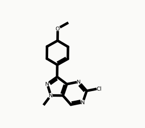 COC1CC=C(c2nn(C)c3cnc(Cl)nc23)CC1